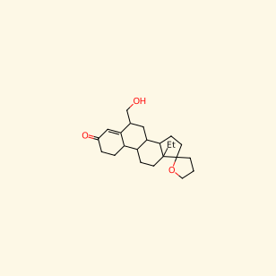 CCC12CCC3C4CCC(=O)C=C4C(CO)CC3C1CCC21CCCO1